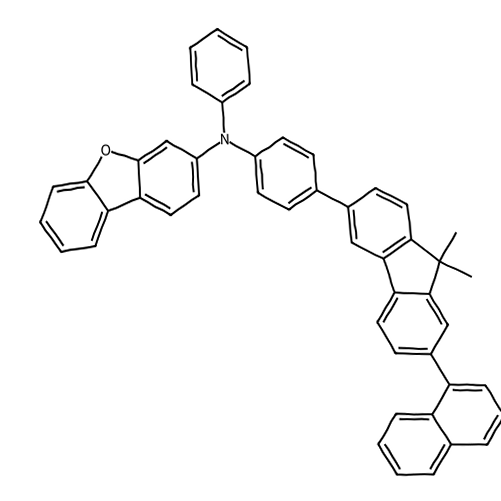 CC1(C)c2ccc(-c3ccc(N(c4ccccc4)c4ccc5c(c4)oc4ccccc45)cc3)cc2-c2ccc(-c3cccc4ccccc34)cc21